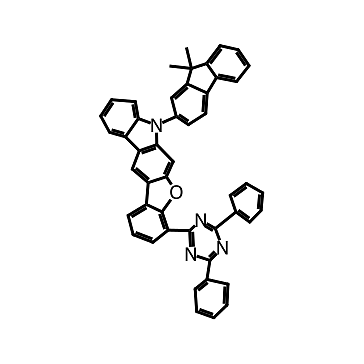 CC1(C)c2ccccc2-c2ccc(-n3c4ccccc4c4cc5c(cc43)oc3c(-c4nc(-c6ccccc6)nc(-c6ccccc6)n4)cccc35)cc21